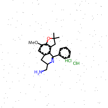 COc1cc2c(c3c1OC(C)(C)C3)C(c1ccccc1)=NC(CN)C2.Cl.Cl